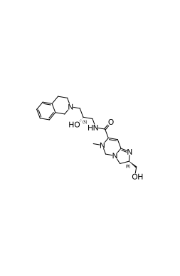 CN1CN2C[C@H](CO)N=C2C=C1C(=O)NC[C@H](O)CN1CCc2ccccc2C1